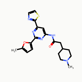 Cc1ccc(-c2nc(NC(=O)CC3CCN(C)CC3)cc(-c3nccs3)n2)o1